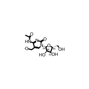 CC(=O)Nc1nc(=O)n([C@@H]2O[C@H](CO)[C@@H](O)[C@H]2O)cc1C[O]